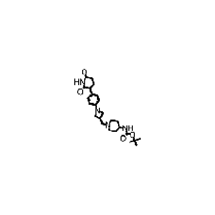 CC(C)(C)OC(=O)NC1CCN(CC2CN(c3ccc(C4CCC(=O)NC4=O)cc3)C2)CC1